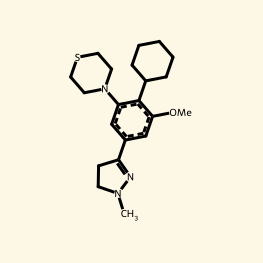 COc1cc(C2=NN(C)CC2)cc(N2CCSCC2)c1C1CCCCC1